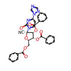 N#C[C@@]1(n2ccc(-n3cncn3)nc2=O)O[C@H](COC(=O)c2ccccc2)[C@@H](OC(=O)c2ccccc2)[C@H]1OC(=O)c1ccccc1